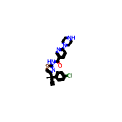 C#C[C@@](C)(c1ccc(Cl)cc1)c1csc(NC(=O)c2ccc(N3CCNCC3)nc2)n1